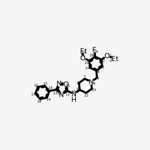 CCOc1cc(CN2CCC(Nc3nc(-c4ccccc4)no3)CC2)cc(OCC)c1F